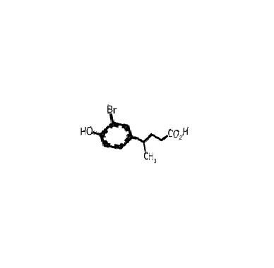 CC(CCC(=O)O)c1ccc(O)c(Br)c1